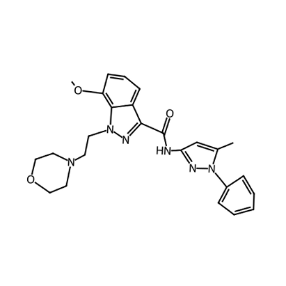 COc1cccc2c(C(=O)Nc3cc(C)n(-c4ccccc4)n3)nn(CCN3CCOCC3)c12